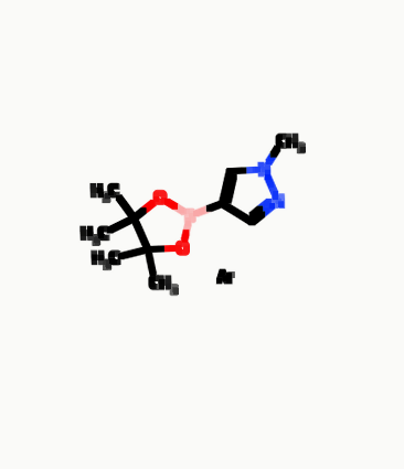 Cn1cc(B2OC(C)(C)C(C)(C)O2)cn1.[Ar]